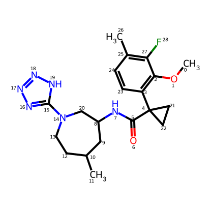 COc1c(C2(C(=O)NC3CC(C)CCN(c4nnn[nH]4)C3)CC2)ccc(C)c1F